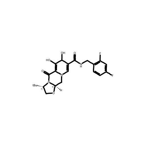 CC(C)(C)[C@H]1CO[C@@H]2CN3C=C(C(=O)NCc4ccc(F)cc4F)C(O)C(O)=C3C(=O)N21